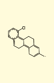 [CH2]C1=CCC2=C3CC=c4cccc(Cl)c4=C3CCC2=C1